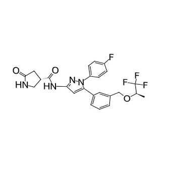 C[C@@H](OCc1cccc(-c2cc(NC(=O)[C@@H]3CNC(=O)C3)nn2-c2ccc(F)cc2)c1)C(F)(F)F